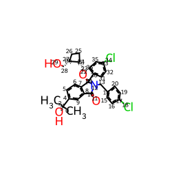 CC(C)(O)c1ccc2c(c1)C(=O)N(Cc1ccc(Cl)cc1)[C@@]2(OC[C@H]1CC[C@H]1CO)c1ccc(Cl)cc1